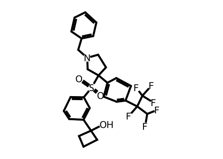 O=S(=O)(c1cccc(C2(O)CCC2)c1)C1(c2ccc(C(F)(C(F)F)C(F)(F)F)cc2)CCN(Cc2ccccc2)C1